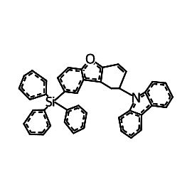 C1=CC(n2c3ccccc3c3ccccc32)Cc2c1oc1ccc([Si](c3ccccc3)(c3ccccc3)c3ccccc3)cc21